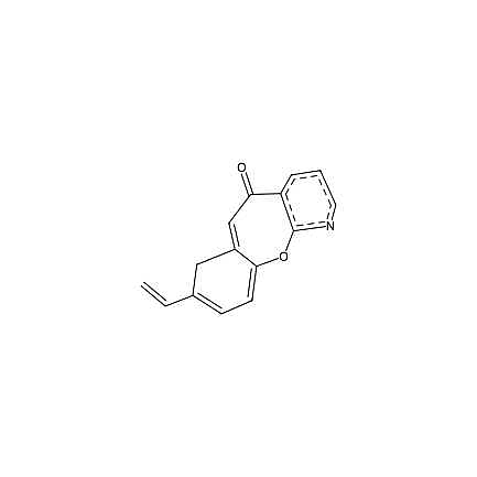 C=CC1=CC=C2Oc3ncccc3C(=O)C=C2C1